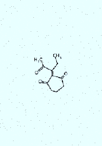 CCC(C(C)=O)=C1C(=O)CCCC1=O